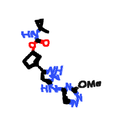 COc1nncc(Nc2cc([C@H]3CC[C@@H](OC(=O)NC4(C)CC4)C3)[nH]n2)n1